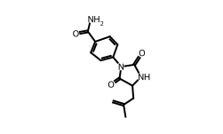 C=C(C)CC1NC(=O)N(c2ccc(C(N)=O)cc2)C1=O